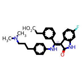 CN(C)CCCc1ccc(N/C(=C2\C(=O)Nc3cc(F)ccc32)c2cccc(CC(=O)O)c2)cc1